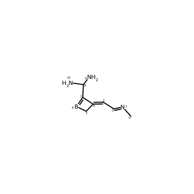 C/N=C/C=C1\CB=C1C(N)N